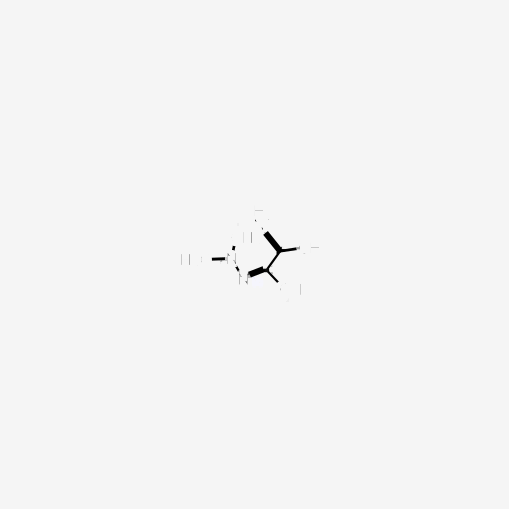 CC(=N)/C(C)=N\N(C)C